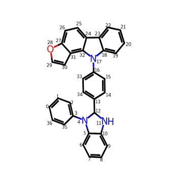 c1ccc(N2c3ccccc3NC2c2ccc(-n3c4ccccc4c4ccc5occc5c43)cc2)cc1